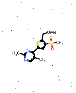 COCc1sc(-c2nc(C)ncc2C(F)(F)F)cc1S(C)(=O)=O